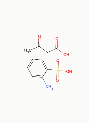 CC(=O)CC(=O)O.Nc1ccccc1S(=O)(=O)O